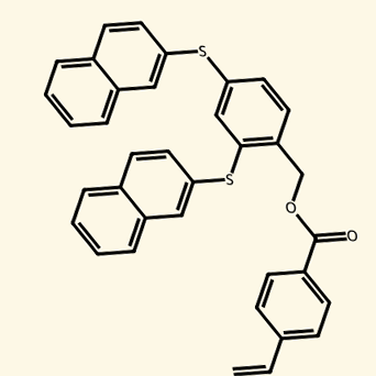 C=Cc1ccc(C(=O)OCc2ccc(Sc3ccc4ccccc4c3)cc2Sc2ccc3ccccc3c2)cc1